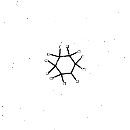 ClC1C(Cl)(Cl)C(Cl)(Cl)C(Cl)(Cl)C(Cl)(Cl)C1(Cl)Cl